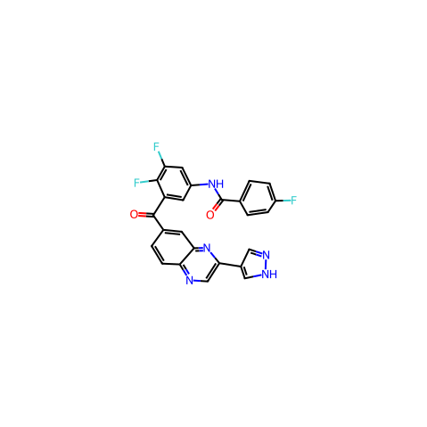 O=C(Nc1cc(F)c(F)c(C(=O)c2ccc3ncc(-c4cn[nH]c4)nc3c2)c1)c1ccc(F)cc1